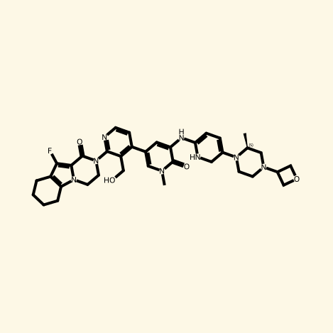 C[C@H]1CN(C2COC2)CCN1C1=CC=C(Nc2cc(-c3ccnc(N4CCn5c6c(c(F)c5C4=O)CCCC6)c3CO)cn(C)c2=O)NC1